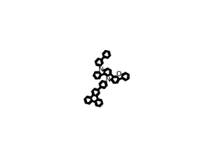 c1ccc(-c2cccc(-n3c4ccccc4c4c3ccc3c5c6oc7ccccc7c6ccc5n(-c5ccc(-c6ccc7c8ccccc8c8ccccc8c7c6)cc5)c34)c2)cc1